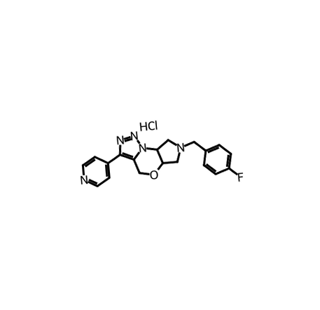 Cl.Fc1ccc(CN2CC3OCc4c(-c5ccncc5)nnn4C3C2)cc1